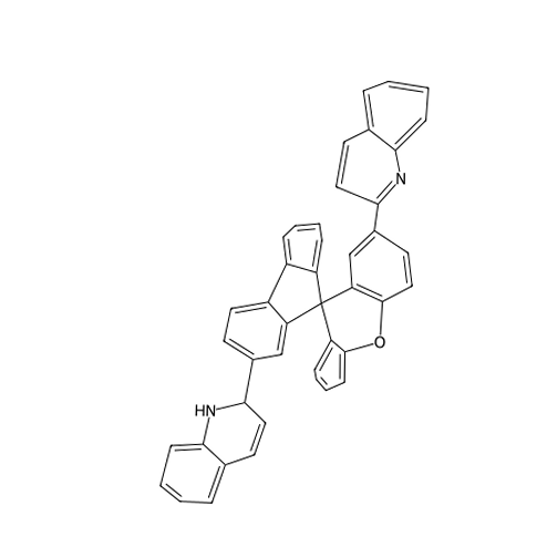 C1=CC(c2ccc3c(c2)C2(c4ccccc4Oc4ccc(-c5ccc6ccccc6n5)cc42)c2ccccc2-3)Nc2ccccc21